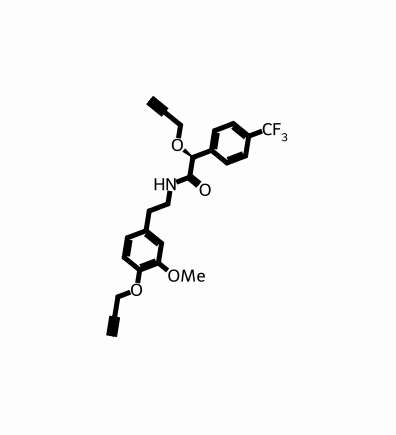 C#CCOc1ccc(CCNC(=O)[C@@H](OCC#C)c2ccc(C(F)(F)F)cc2)cc1OC